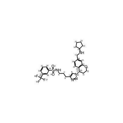 O=S(=O)(NCCCc1cn([C@@H]2CCOc3cc(CNC4CCCC4)ccc32)nn1)c1cccc(C(F)(F)F)c1